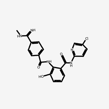 CNC(=N)c1ccc(C(=O)Nc2c(O)cccc2C(=O)Nc2ccc(Cl)cn2)cc1